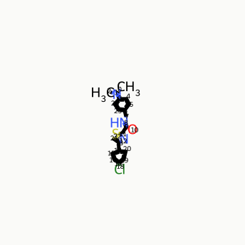 CN(C)c1ccc(CNC(=O)c2nc(-c3ccc(Cl)cc3)cs2)cc1